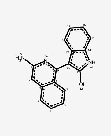 Nc1cc2ccccc2c(-c2c(O)[nH]c3ccccc23)n1